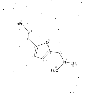 [CH2]CCSCc1ccc(CN(C)C)o1